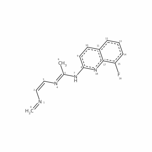 C=N/C=C\N=C(/C)Nc1ccc2cccc(F)c2n1